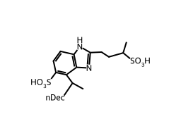 CCCCCCCCCCC(C)c1c(S(=O)(=O)O)ccc2[nH]c(CCC(C)S(=O)(=O)O)nc12